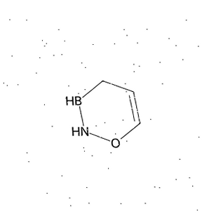 B1CC=CON1